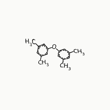 Cc1cc(C)cc(Oc2cc(C)cc(C)c2)c1